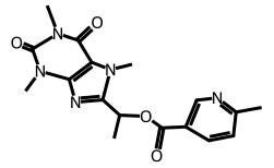 Cc1ccc(C(=O)OC(C)c2nc3c(c(=O)n(C)c(=O)n3C)n2C)cn1